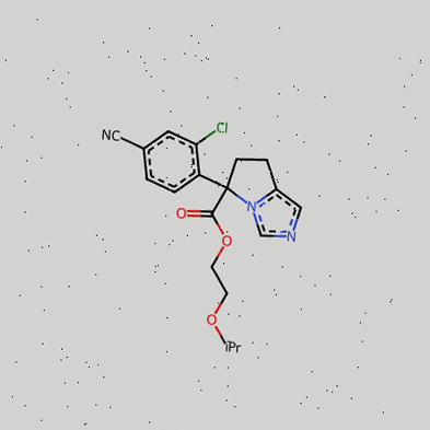 CC(C)OCCOC(=O)C1(c2ccc(C#N)cc2Cl)CCc2cncn21